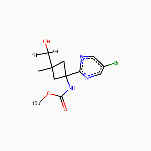 [2H]C([2H])(O)C1(C)CC(NC(=O)OC(C)(C)C)(c2ncc(Br)cn2)C1